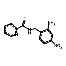 Nc1cc([N+](=O)[O-])ccc1CNC(=O)c1ccccn1